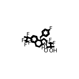 CC(O)(C(=O)N1CC[C@@]2(Cc3ccc(F)cc3)c3ccc(C(C)(F)C(F)(F)F)cc3CC[C@@H]12)C(F)(F)F